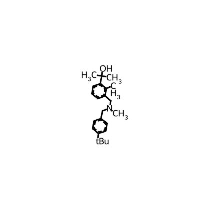 Cc1c(CN(C)Cc2ccc(C(C)(C)C)cc2)cccc1C(C)(C)O